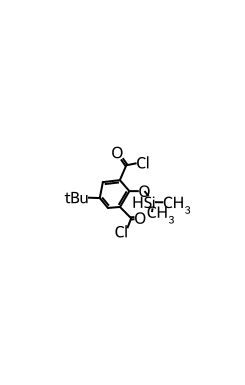 C[SiH](C)Oc1c(C(=O)Cl)cc(C(C)(C)C)cc1C(=O)Cl